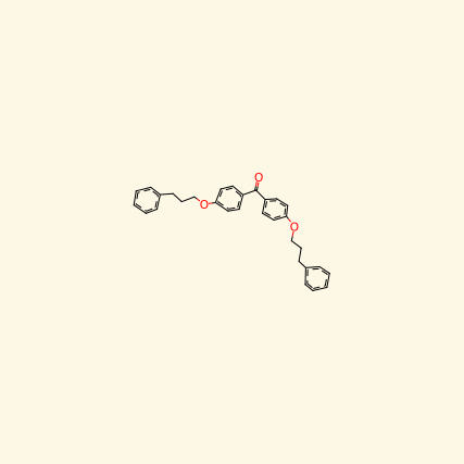 O=C(c1ccc(OCCCc2ccccc2)cc1)c1ccc(OCCCc2ccccc2)cc1